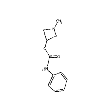 CN1CC(OC(=O)Nc2ccccc2)C1